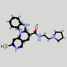 Cc1cc2c(cn1)cc(C(=O)NCCN1CCCC1)c1nc3ccccc3n12